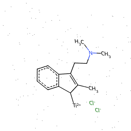 CC1=C(CCN(C)C)c2ccccc2[CH]1[Ti+2].[Cl-].[Cl-]